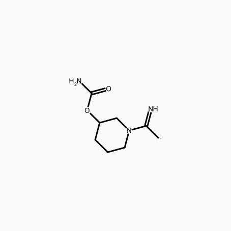 [CH2]C(=N)N1CCCC(OC(N)=O)C1